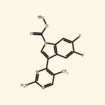 CC(C)(C)OC(=O)n1cc(-c2nc(N)ncc2C(F)(F)F)c2cc(F)c(F)cc21